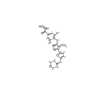 Cn1c(Sc2c(F)cc(C(=O)NO)cc2F)nnc1-c1ccc(CN2CCOCC2)o1